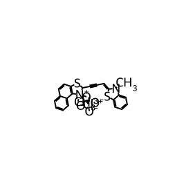 CN1C(=CC#CC2Sc3ccc4ccccc4c3[N+]2(C)O[Cl+3]([O-])([O-])[O-])Sc2ccccc21